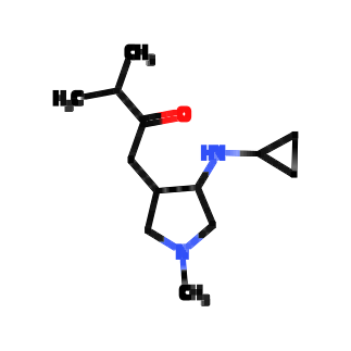 CC(C)C(=O)CC1CN(C)CC1NC1CC1